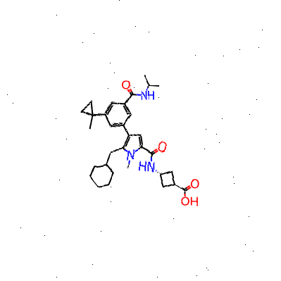 CC(C)NC(=O)c1cc(-c2cc(C(=O)N[C@H]3C[C@H](C(=O)O)C3)n(C)c2CC2CCCCC2)cc(C2(C)CC2)c1